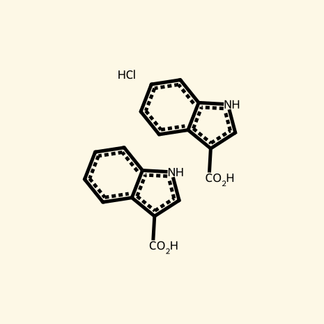 Cl.O=C(O)c1c[nH]c2ccccc12.O=C(O)c1c[nH]c2ccccc12